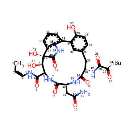 C/C=C\NC(=O)C1NC(=O)[C@H](CC(N)=O)NC(=O)[C@@H](NC(=O)C(=O)[C@@H](C)CC)Cc2ccc(O)c(c2)-c2cccc3c2NC(=O)[C@@]3(O)[C@@H]1O